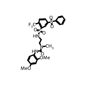 COc1ccc(NC(=O)N(C)CCNS(=O)(=O)c2cc(S(=O)(=O)c3ccccc3)ccc2C(F)(F)F)c(OC)c1